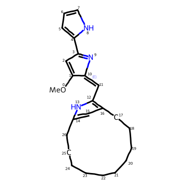 COC1=CC(c2ccc[nH]2)=N/C1=C/c1[nH]c2cc1CCCCCCCCCC2